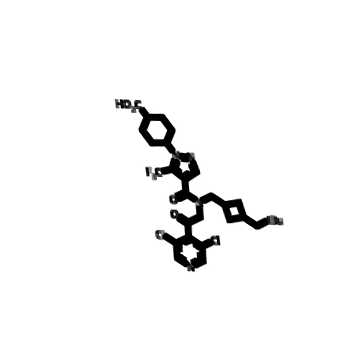 CC(C)(C)CC1CC(CN(CC(=O)c2c(Cl)cncc2Cl)C(=O)c2cnn(C3CCC(C(=O)O)CC3)c2C(F)(F)F)C1